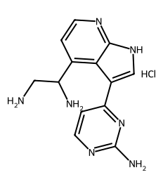 Cl.NCC(N)c1ccnc2[nH]cc(-c3ccnc(N)n3)c12